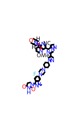 COc1ccc(CN2[C@@H]3COC[C@H]2CN(c2ccc(-c4nc(-c5cnn([C@H]6CC[C@@H](N7CCN(c8cc9c(cc8F)c(N8CCC(=O)NC8=O)nn9C)CC7)CC6)c5)cn5ncc(C#N)c45)cn2)C3)cn1